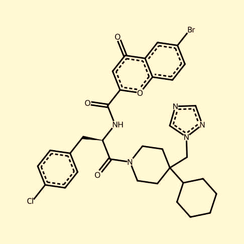 O=C(N[C@H](Cc1ccc(Cl)cc1)C(=O)N1CCC(Cn2cncn2)(C2CCCCC2)CC1)c1cc(=O)c2cc(Br)ccc2o1